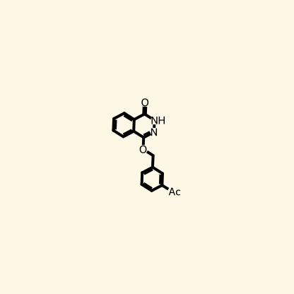 CC(=O)c1cccc(COc2n[nH]c(=O)c3ccccc23)c1